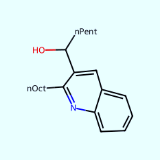 CCCCCCCCc1nc2ccccc2cc1C(O)CCCCC